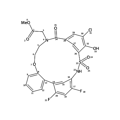 COC(=O)CN1CCOc2ccccc2-c2cc(c(F)cc2F)NS(=O)(=O)c2cc(cc(Cl)c2O)C1=O